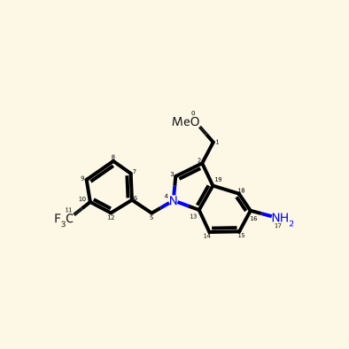 COCc1cn(Cc2cccc(C(F)(F)F)c2)c2ccc(N)cc12